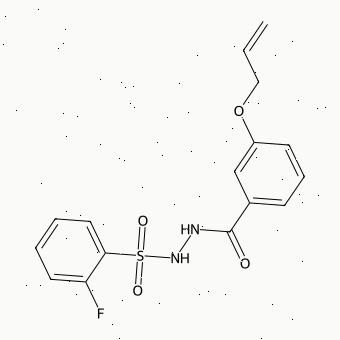 C=CCOc1cccc(C(=O)NNS(=O)(=O)c2ccccc2F)c1